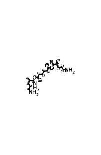 CC(CCCN)C(N)OC(=O)CCCCC(=O)OC(N)C(C)CCCN